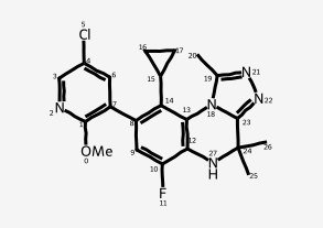 COc1ncc(Cl)cc1-c1cc(F)c2c(c1C1CC1)-n1c(C)nnc1C(C)(C)N2